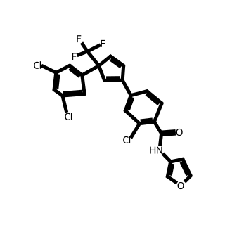 O=C(Nc1ccoc1)c1ccc(C2=CC(c3cc(Cl)cc(Cl)c3)(C(F)(F)F)C=C2)cc1Cl